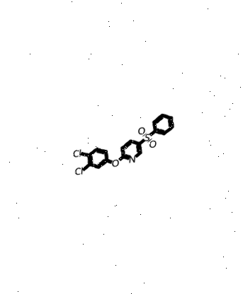 O=S(=O)(c1ccccc1)c1ccc(Oc2ccc(Cl)c(Cl)c2)nc1